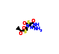 Nc1nc2c(sc(=O)n2[C@H]2CS[C@@H](C(=O)C3CC3)O2)c(=O)[nH]1